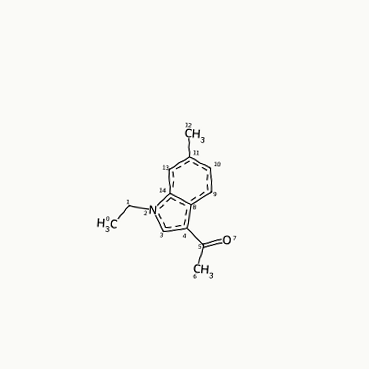 CCn1cc(C(C)=O)c2ccc(C)cc21